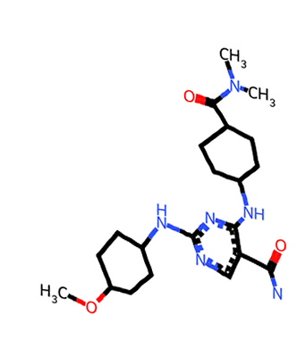 COC1CCC(Nc2ncc(C(N)=O)c(NC3CCC(C(=O)N(C)C)CC3)n2)CC1